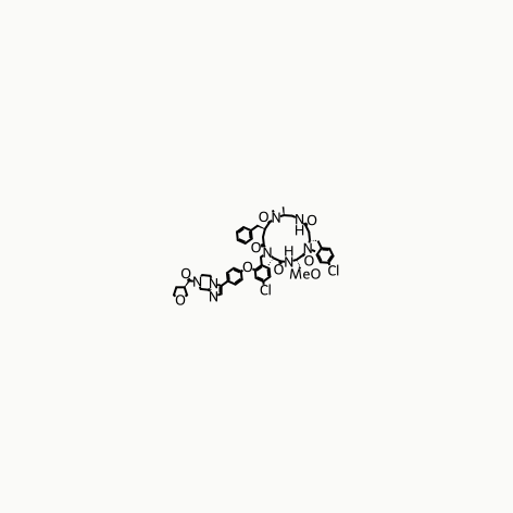 COC[C@@H]1NC(=O)[C@H](C)N(Cc2ccc(Cl)cc2Oc2ccc(-c3cnc4n3CCN(C(=O)[C@@H]3CCOC3)C4)cc2)C(=O)C[C@@H](Cc2ccccc2)C(=O)N(C)[C@@H](C)CNC(=O)C[C@H](Cc2ccc(Cl)cc2)N(C)C1=O